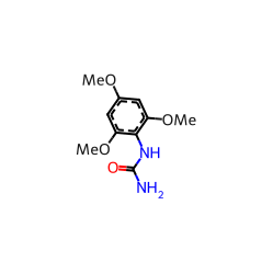 COc1cc(OC)c(NC(N)=O)c(OC)c1